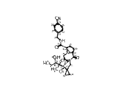 CC(C)([C@H](O)CO)S(=O)(=O)C1(CN2CCn3c(C(=O)NCc4ccc(C#N)cc4)ccc3C2=O)CC1